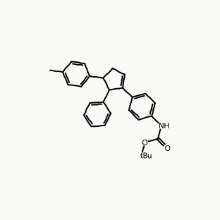 Cc1ccc(C2CC=C(c3ccc(NC(=O)OC(C)(C)C)cc3)C2c2ccccc2)cc1